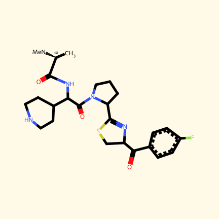 CN[C@@H](C)C(=O)NC(C(=O)N1CCCC1C1=NC(C(=O)c2ccc(F)cc2)CS1)C1CCNCC1